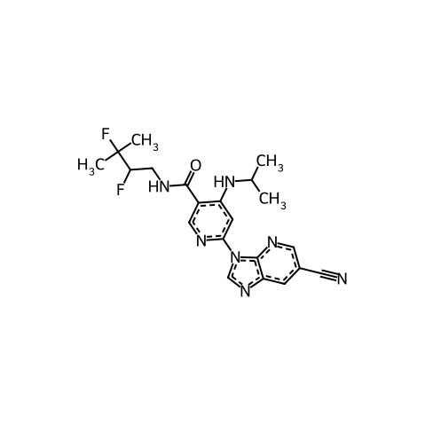 CC(C)Nc1cc(-n2cnc3cc(C#N)cnc32)ncc1C(=O)NCC(F)C(C)(C)F